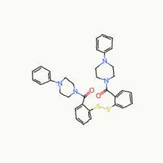 O=C(c1ccccc1SSc1ccccc1C(=O)N1CCN(c2ccccc2)CC1)N1CCN(c2ccccc2)CC1